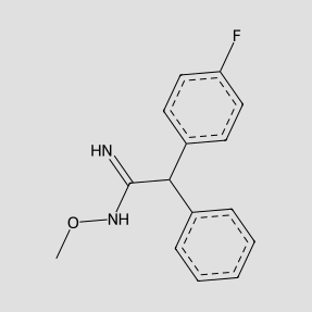 CONC(=N)C(c1ccccc1)c1ccc(F)cc1